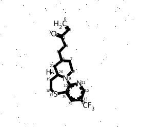 C=CC(=O)CCC1CCN2c3ncc(C(F)(F)F)cc3SCC[C@H]2C1